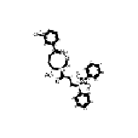 CC(=O)[C@@H]1CC/C(c2cccc(Cl)c2)=N\OCN1C(=O)CCN(c1ccccc1)S(=O)(=O)c1ccccc1